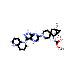 CC(C)(C)OC(=O)N[C@@H]1[C@@H]2C[C@@H]2CC12CCN(c1cnc3c(N4CCCc5ncccc54)n[nH]c3n1)CC2